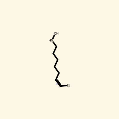 CC/C=C\CCCCCNO